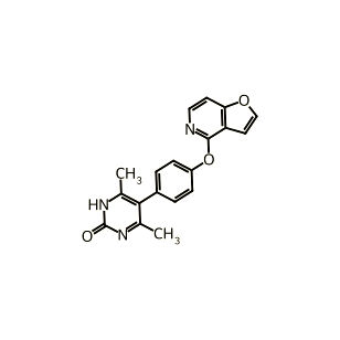 Cc1nc(=O)[nH]c(C)c1-c1ccc(Oc2nccc3occc23)cc1